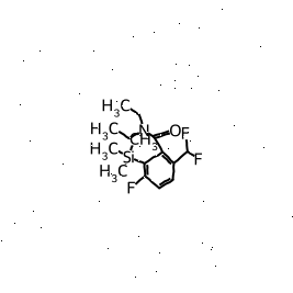 CCN(CC)C(=O)c1c(C(F)F)ccc(F)c1[Si](C)(C)C